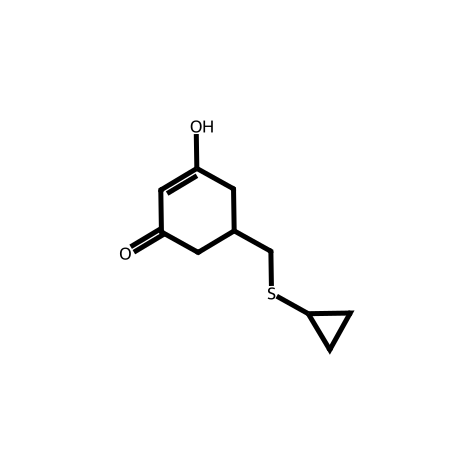 O=C1C=C(O)CC(CSC2CC2)C1